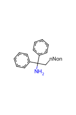 CCCCCCCCCCC(N)(c1ccccc1)c1ccccc1